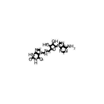 Nc1ncnc2c1ncn2C1OC(CNCn2cnc3[nH]c(=O)[nH]c(=O)c32)C(O)C1O